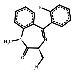 CN1C(=O)[C@H](CN)N=C(c2ccccc2F)c2ccccc21